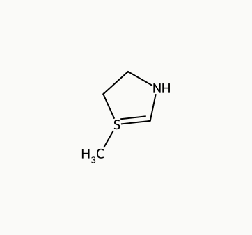 CS1=CNCC1